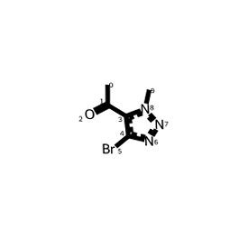 CC(=O)c1c(Br)nnn1C